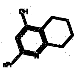 CCCc1cc(O)c2c(n1)CCCC2